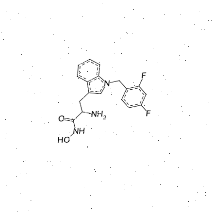 NC(Cc1cn(Cc2ccc(F)cc2F)c2ccccc12)C(=O)NO